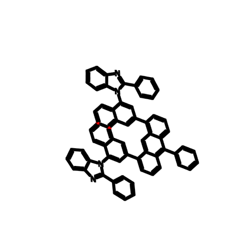 c1ccc(-c2c3cccc(-c4cc(-n5c(-c6ccccc6)nc6ccccc65)c5ccccc5c4)c3cc3c(-c4cc(-n5c(-c6ccccc6)nc6ccccc65)c5ccccc5c4)cccc23)cc1